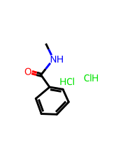 CNC(=O)c1ccccc1.Cl.Cl